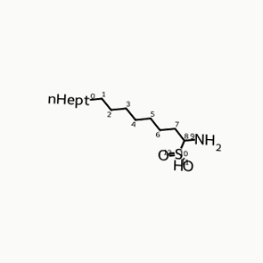 CCCCCCCCCCCCCCC(N)[SH](=O)=O